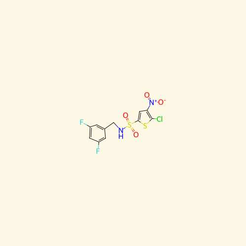 O=[N+]([O-])c1cc(S(=O)(=O)NCc2cc(F)cc(F)c2)sc1Cl